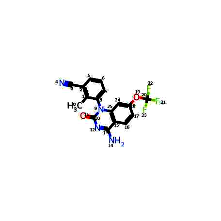 Cc1c(C#N)cccc1-n1c(=O)nc(N)c2ccc(OC(F)(F)F)cc21